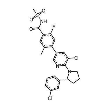 Cc1cc(C(=O)NS(C)(=O)=O)c(F)cc1-c1cnc(N2CCC[C@@H]2c2cccc(Cl)c2)c(Cl)c1